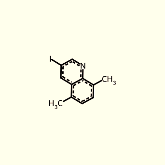 Cc1ccc(C)c2ncc(I)cc12